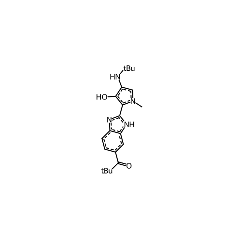 Cn1cc(NC(C)(C)C)c(O)c1-c1nc2ccc(C(=O)C(C)(C)C)cc2[nH]1